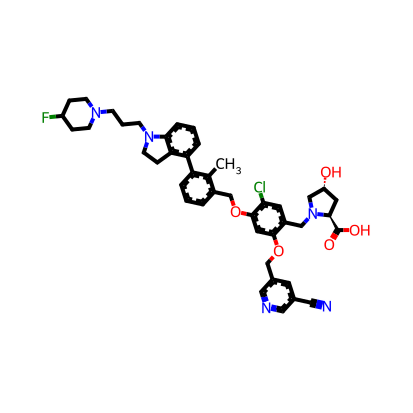 Cc1c(COc2cc(OCc3cncc(C#N)c3)c(CN3C[C@H](O)C[C@H]3C(=O)O)cc2Cl)cccc1-c1cccc2c1CCN2CCCN1CCC(F)CC1